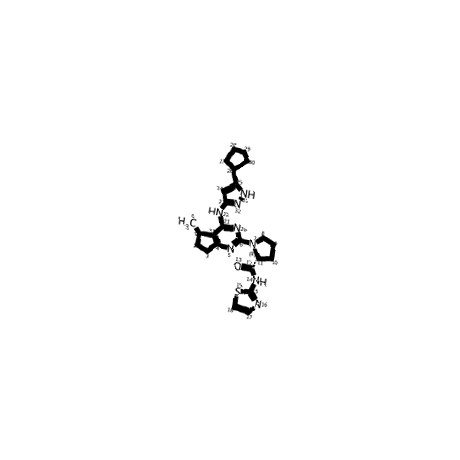 CC1CCc2nc(N3CCC[C@@H]3C(=O)Nc3nccs3)nc(Nc3cc(C4CCCC4)[nH]n3)c21